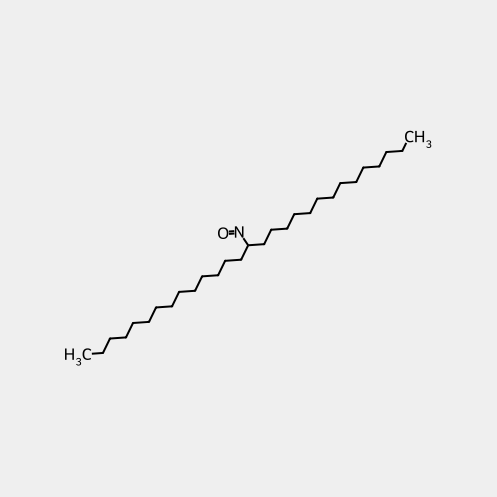 CCCCCCCCCCCCCCC(CCCCCCCCCCCCCC)N=O